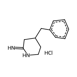 Cl.N=C1CC(Cc2ccccc2)CCN1